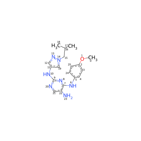 COc1ccc(Nc2nc(Nc3cnn(C[C](C)C)c3)ncc2N)cc1